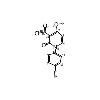 COc1ccn(-c2ccc(F)cc2)c(=O)c1C(=O)Cl